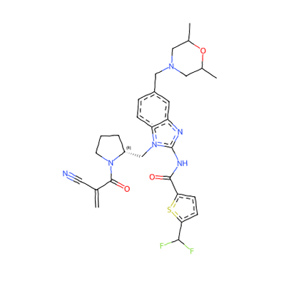 C=C(C#N)C(=O)N1CCC[C@@H]1Cn1c(NC(=O)c2ccc(C(F)F)s2)nc2cc(CN3CC(C)OC(C)C3)ccc21